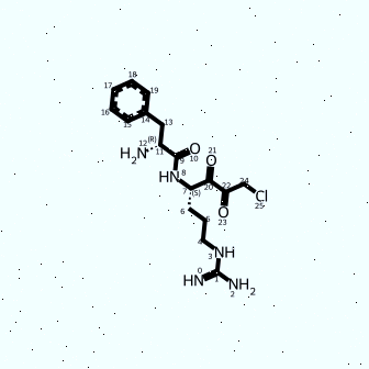 N=C(N)NCCC[C@H](NC(=O)[C@H](N)Cc1ccccc1)C(=O)C(=O)CCl